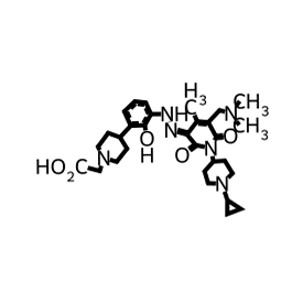 CC1=C(CN(C)C)C(=O)N(C2CCN(C3CC3)CC2)C(=O)/C1=N/Nc1cccc(C2CCN(CC(=O)O)CC2)c1O